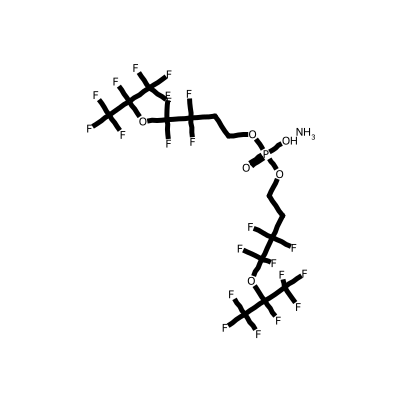 N.O=P(O)(OCCC(F)(F)C(F)(F)OC(F)(C(F)(F)F)C(F)(F)F)OCCC(F)(F)C(F)(F)OC(F)(C(F)(F)F)C(F)(F)F